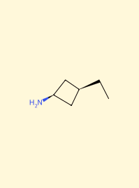 CC[C@H]1C[C@@H](N)C1